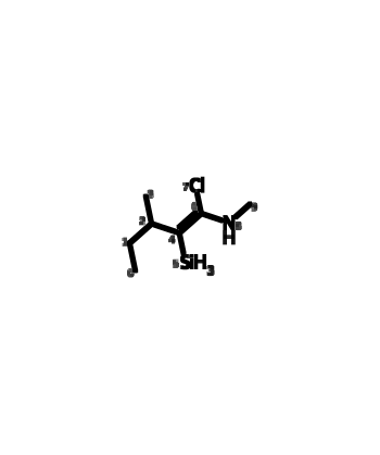 CCC(C)C([SiH3])=C(Cl)NC